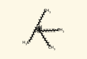 CCCCCCCCCCCCC[SiH](CCCCCCCCCCCCC)[O][Cr](=[O])(=[O])[O][SiH](CCCCCCCCCCCCC)CCCCCCCCCCCCC